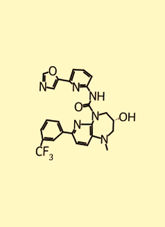 CN1C[C@@H](O)CN(C(=O)Nc2cccc(-c3cnco3)n2)c2nc(-c3cccc(C(F)(F)F)c3)ccc21